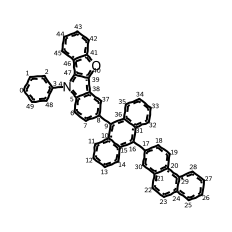 c1ccc(-n2c3ccc(-c4c5ccccc5c(-c5ccc6c(ccc7ccccc76)c5)c5ccccc45)cc3c3oc4ccccc4c32)cc1